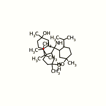 CC(C)C1CCC(C)(O)CC1C(N)(C1CC(C)(O)CCC1C(C)C)C1CC(C)(O)CCC1C(C)C